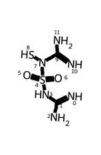 N=C(N)NS(=O)(=O)N(S)C(=N)N